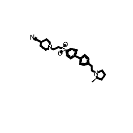 C[C@@H]1CCCN1CCc1ccc(-c2ccc(S(=O)(=O)CCN3CCC(C#N)CC3)cc2)cc1